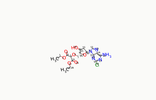 CCOC(=O)C(OC[C@H]1O[C@@H](n2cnc3c(N)nc(Cl)nc32)C[C@@H]1O)C(=O)OCC